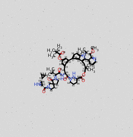 CCn1c(-c2cccnc2[C@H](C)OC)c2c3cc(ccc31)-c1cc(cc(OC(=O)C(C)(C)C)c1)C[C@H](NC(=O)[C@H](C(C)C)N1CC[C@]3(CCN(C(=O)[C@@H]4N[C@@H]4C4CC4)C3)C1=O)C(=O)N1CCC[C@H](N1)C(=O)OCC(C)(C)C2